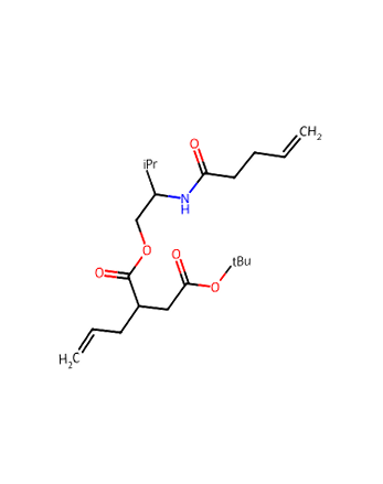 C=CCCC(=O)NC(COC(=O)C(CC=C)CC(=O)OC(C)(C)C)C(C)C